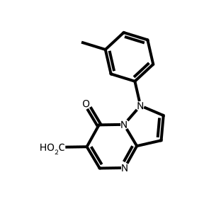 Cc1cccc(-n2ccc3ncc(C(=O)O)c(=O)n32)c1